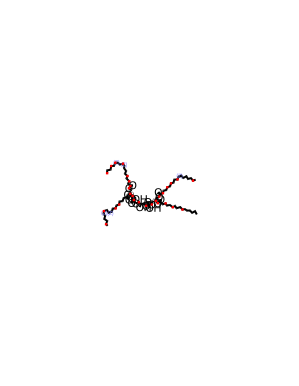 CCCCC/C=C\C/C=C\CCCCCCCC(=O)OC[C@H](COP(=O)(O)OCC(O)COP(=O)(O)OC[C@@H](COC(=O)CCCCCCCCC/C=C\CCCCCC)OC(=O)CCCCCCCCCCCCCCC)OC(=O)CCCCCCC/C=C\C/C=C\CCCCC